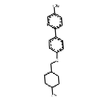 CCCCc1ccc(-c2ccc(OCC3CCC(CCC)CC3)cc2)nc1